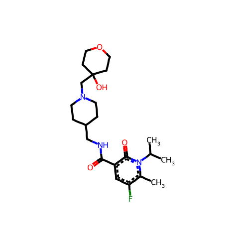 Cc1c(F)cc(C(=O)NCC2CCN(CC3(O)CCOCC3)CC2)c(=O)n1C(C)C